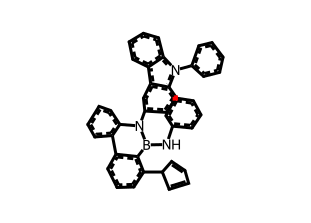 C1=CC(c2cccc3c2B(Nc2ccccc2)N(c2ccc4c(c2)c2ccccc2n4-c2ccccc2)c2ccccc2-3)C=C1